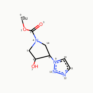 CC(C)(C)OC(=O)N1CC(O)C(n2ccnn2)C1